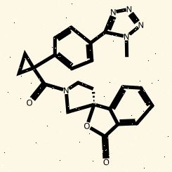 Cn1nnnc1-c1ccc(C2(C(=O)N3CC[C@@]4(C3)OC(=O)c3ccccc34)CC2)cc1